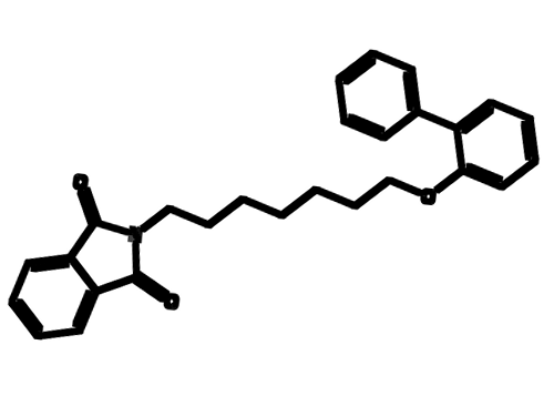 O=C1c2ccccc2C(=O)N1CCCCCCCOc1ccccc1-c1ccccc1